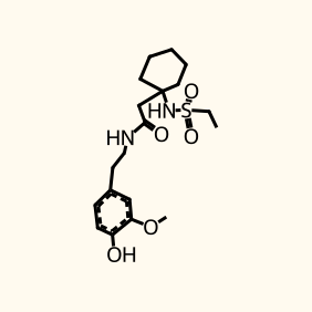 CCS(=O)(=O)NC1(CC(=O)NCCc2ccc(O)c(OC)c2)CCCCC1